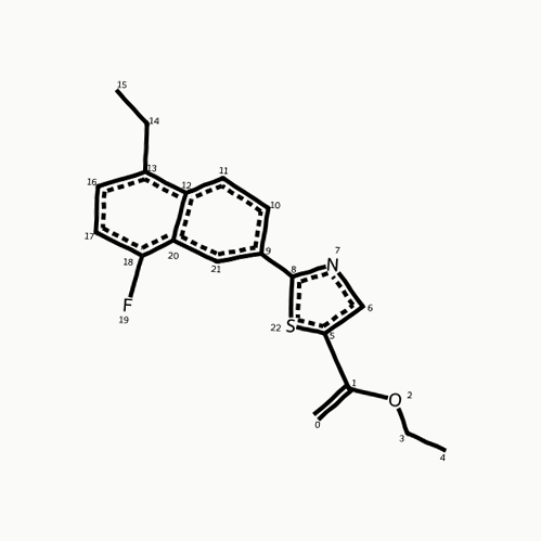 C=C(OCC)c1cnc(-c2ccc3c(CC)ccc(F)c3c2)s1